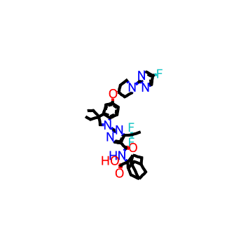 CCC1(CC)CN(c2ncc(C(=O)NC3(C(=O)O)C4CC5CC(C4)CC3C5)c(C(C)(F)F)n2)c2ccc(OC3CCN(c4ncc(F)cn4)CC3)cc21